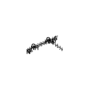 CCCCCCCCCC(=O)NC(CCCSC)C(=O)NCCCCCCCCCCC(=O)NCc1ccncc1